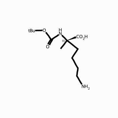 CC(C)(C)OC(=O)N[C@@](C)(CCCCN)C(=O)O